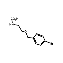 O=C(O)NCCOCc1ccc(Br)cc1